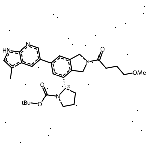 COCCCC(=O)N1Cc2cc(-c3cnc4[nH]cc(C)c4c3)cc([C@@H]3CCCN3C(=O)OC(C)(C)C)c2C1